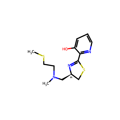 CSCCN(C)C[C@@H]1CSC(c2ncccc2O)=N1